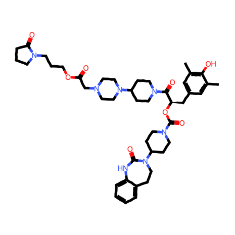 Cc1cc(C[C@@H](OC(=O)N2CCC(N3CCc4ccccc4NC3=O)CC2)C(=O)N2CCC(N3CCN(CC(=O)OCCCN4CCCC4=O)CC3)CC2)cc(C)c1O